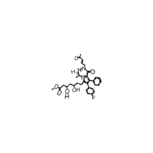 COC(=O)CC(O)CC(O)CCc1c(-c2ccc(F)cc2)c(-c2ccccc2)c(C(=O)N(N)CC=CC(C)=O)n1C(C)C